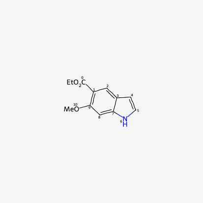 CCOC(=O)c1cc2cc[nH]c2cc1OC